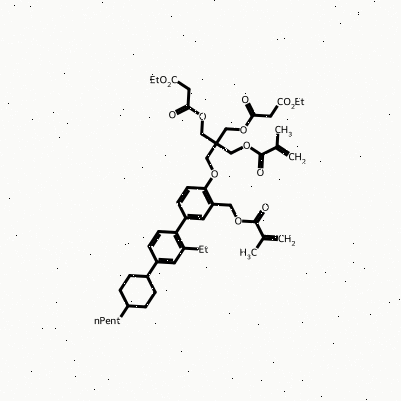 C=C(C)C(=O)OCc1cc(-c2ccc(C3CCC(CCCCC)CC3)cc2CC)ccc1OCC(COC(=O)CC(=O)OCC)(COC(=O)CC(=O)OCC)COC(=O)C(=C)C